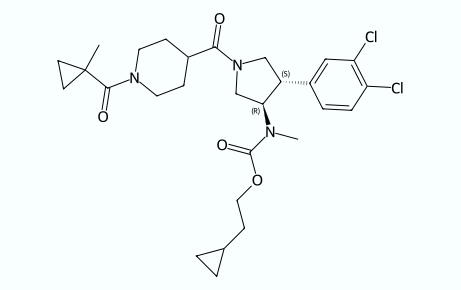 CN(C(=O)OCCC1CC1)[C@H]1CN(C(=O)C2CCN(C(=O)C3(C)CC3)CC2)C[C@@H]1c1ccc(Cl)c(Cl)c1